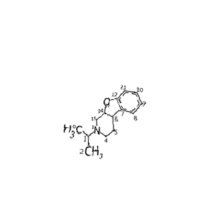 CC(C)N1CCC2c3ccccc3OC2C1